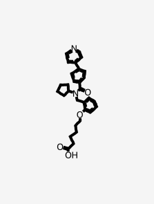 O=C(O)CCCCCOc1ccccc1CN(C(=O)c1ccc(-c2ccncc2)cc1)C1CCCC1